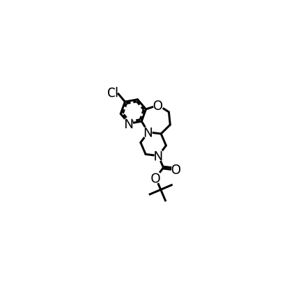 CC(C)(C)OC(=O)N1CCN2c3ncc(Cl)cc3OCCC2C1